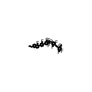 CCCc1ccc2c(F)c(-c3ccc(-c4cc(F)c(C(F)(F)Oc5cc(F)c(C#Cc6cc(F)c(F)cc6OC)c(F)c5)c(F)c4)c(F)c3)ccc2c1